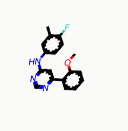 COc1ccccc1-c1cc(Nc2ccc(F)c(C)c2)ncn1